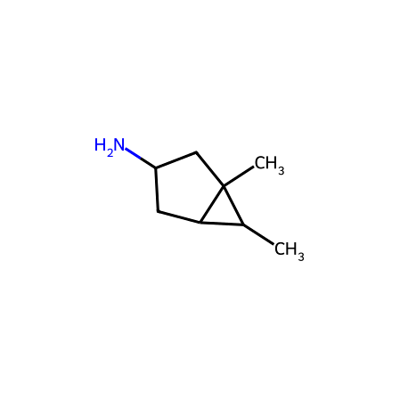 CC1C2CC(N)CC12C